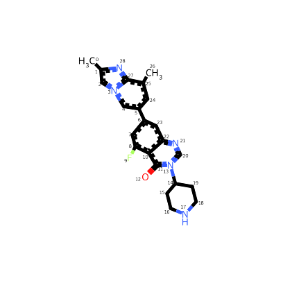 Cc1cn2cc(-c3cc(F)c4c(=O)n(C5CCNCC5)cnc4c3)cc(C)c2n1